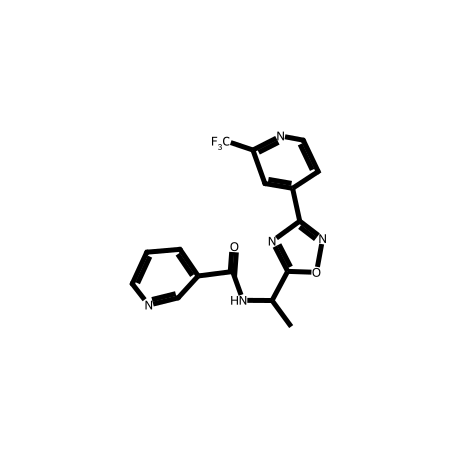 CC(NC(=O)c1cccnc1)c1nc(-c2ccnc(C(F)(F)F)c2)no1